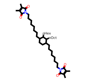 CCCCCCCCC1C(CCCCCCCCN2C(=O)C(C)=C(C)C2=O)CCC(CCCCCCCCN2C(=O)C(C)=C(C)C2=O)C1CCCCCC